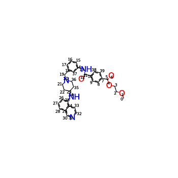 COCCOC(=O)c1ccc(C(=O)Nc2cccc(CN3CCC(Nc4cccc5cnccc45)CC3)c2)cc1